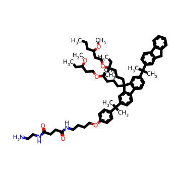 CCCC(CCOC(C)(CC)CCCC1(CCCC(C)OCCC(CC)OC)c2cc(C(C)(C)c3ccc(OCCCCNC(=O)CCC(=O)NCCN)cc3)ccc2-c2ccc(C(C)(C)c3ccc4c(c3)Cc3ccccc3-4)cc21)OC